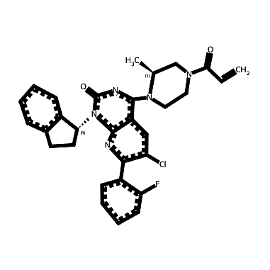 C=CC(=O)N1CCN(c2nc(=O)n([C@@H]3CCc4ccccc43)c3nc(-c4ccccc4F)c(Cl)cc23)[C@@H](C)C1